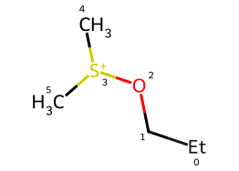 CCCO[S+](C)C